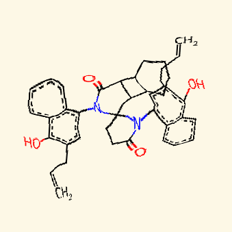 C=CCc1cc(N2C(=O)CCC23C2C4CCCCC4C2C(=O)N3c2cc(CC=C)c(O)c3ccccc23)c2ccccc2c1O